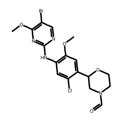 COc1cc(C2CN(C=O)CCO2)c(Cl)cc1Nc1ncc(Br)c(OC)n1